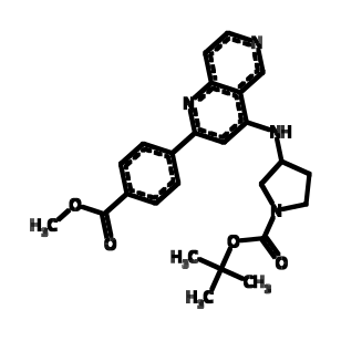 COC(=O)c1ccc(-c2cc(NC3CCN(C(=O)OC(C)(C)C)C3)c3cnccc3n2)cc1